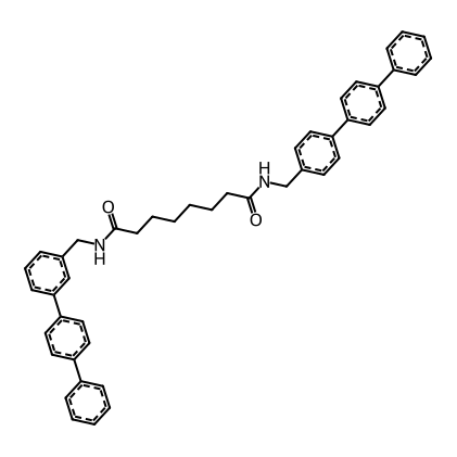 O=C(CCCCCCC(=O)NCc1cccc(-c2ccc(-c3ccccc3)cc2)c1)NCc1ccc(-c2ccc(-c3ccccc3)cc2)cc1